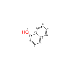 OC1C=CC=C2C=CC=CC21